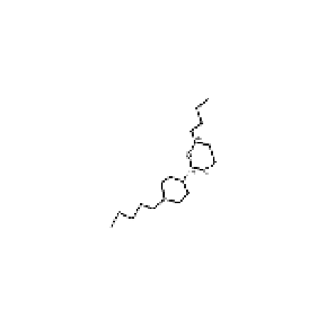 CCCCCC1CCC([C@H]2OCC[C@H](CCCC)O2)CC1